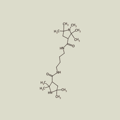 CN1C(C)(C)CC(C(=O)NCCCCNC(=O)C2CC(C)(C)NC2(C)C)C1(C)C